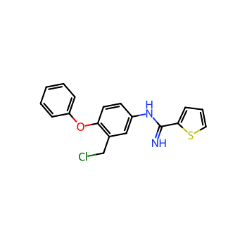 N=C(Nc1ccc(Oc2ccccc2)c(CCl)c1)c1cccs1